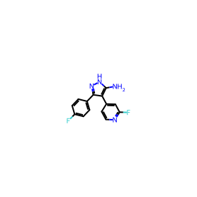 Nc1[nH]nc(-c2ccc(F)cc2)c1-c1ccnc(F)c1